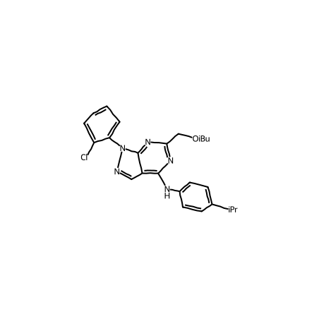 CC(C)COCc1nc(Nc2ccc(C(C)C)cc2)c2cnn(-c3ccccc3Cl)c2n1